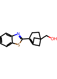 OCC12CCC(c3nc4ccccc4s3)=C(C1)C2